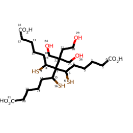 O=C(O)CCCCC(S)C(C(S)CCCCC(=O)O)(C(S)CCCCC(=O)O)C(CO)(CO)CCO